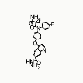 NNC(=O)c1ccc2c(Oc3ccc(N(C(=O)C4(C(N)=O)CC4)c4ccc(F)cc4)cc3)ccnc2c1